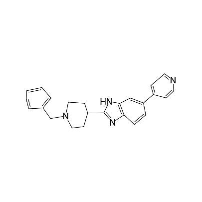 c1ccc(CN2CCC(c3nc4ccc(-c5ccncc5)cc4[nH]3)CC2)cc1